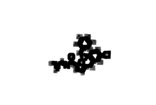 CN(C)C=NC(=O)c1ccc(Cc2cc(Cl)ccc2OCc2ccccc2)o1